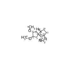 CO[C@@H]1CC2(C[C@H]1OC)[C@@H]1CC[C@@H](C1)[C@@H]2N